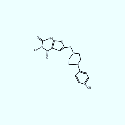 CCn1c(=O)[nH]c2sc(CN3CCN(c4ccc(C#N)cn4)CC3)cc2c1=O